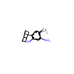 Nc1cc(N)c(C23C4C5C6C4C2C6C53)cc1C(F)(F)F